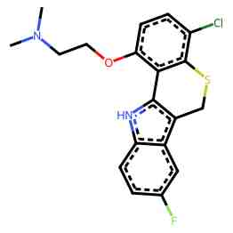 CN(C)CCOc1ccc(Cl)c2c1-c1[nH]c3ccc(F)cc3c1CS2